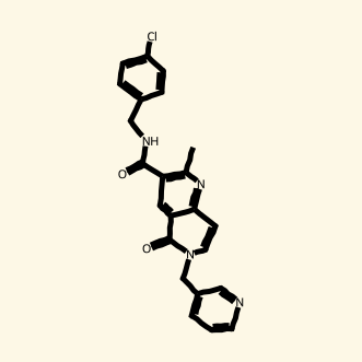 Cc1nc2ccn(Cc3cccnc3)c(=O)c2cc1C(=O)NCc1ccc(Cl)cc1